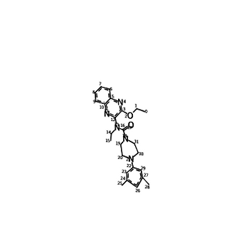 CCOc1nc2ccccc2nc1N(CC)C(=O)N1CCN(c2cc(C)cc(C)c2)CC1